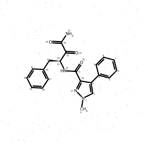 Cn1cc(-c2ccccc2)c(C(=O)N[C@@H](Cc2ccccc2)C(=O)C(N)=O)n1